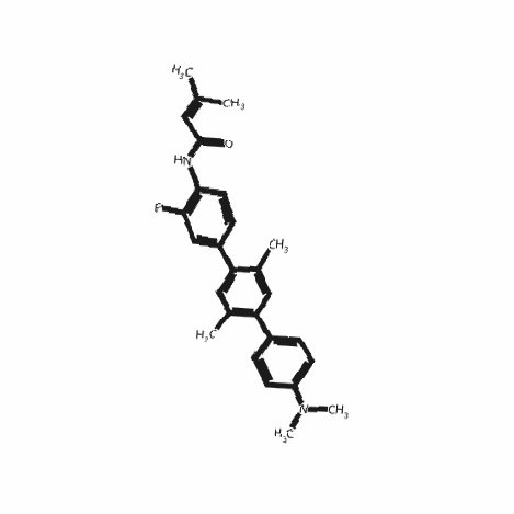 CC(C)=CC(=O)Nc1ccc(-c2cc(C)c(-c3ccc(N(C)C)cc3)cc2C)cc1F